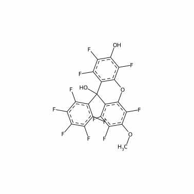 COc1c(F)c(F)c2c(c1F)Oc1c(F)c(O)c(F)c(F)c1C2(O)c1c(F)c(F)c(F)c(F)c1F